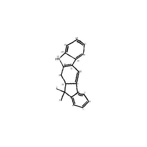 CC1(C)c2ccccc2C2=Cc3c([nH]c4ccccc34)CC21